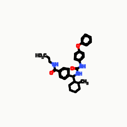 CC1CCCCC1C(NC(=O)Nc1ccc(Oc2ccccc2)cc1)c1ccc(C(=O)NCCC(=O)O)cc1